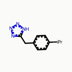 CC(C)c1ccc(Cc2nnn[nH]2)cc1